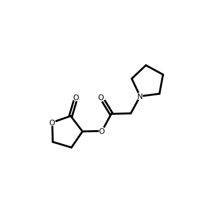 O=C(CN1CCCC1)OC1CCOC1=O